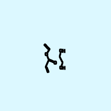 C=COC(=O)C=C.OCCO